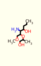 CCCC(O)C(N)C(COC)OC(C)CO